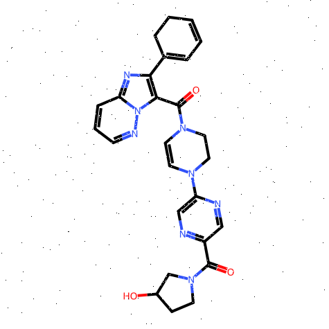 O=C(c1c(C2=CC=CCC2)nc2cccnn12)N1C=CN(c2cnc(C(=O)N3CCC(O)C3)cn2)CC1